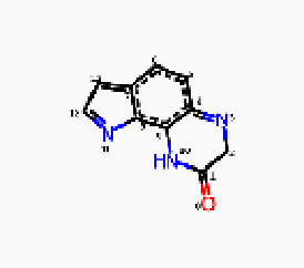 O=C1CN=c2ccc3c(c2N1)N=CC=3